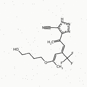 C=C(/C=C(\C=C(/C)OCCCCO)C(F)(F)F)c1nn[nH]c1C#N